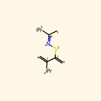 C=C(S/N=C(\C)C(C)C)C(=C)C(C)C